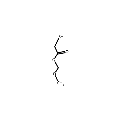 COCOC(=O)CS